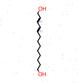 OC/C=C/C=C/CCCCCCCCO